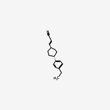 CCc1ccc([C@H]2CC[C@H](C=CC#N)CC2)cc1